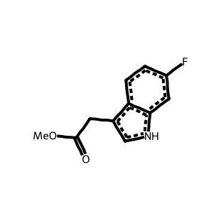 COC(=O)Cc1c[nH]c2cc(F)ccc12